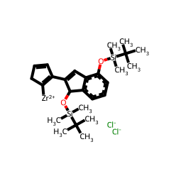 CC(C)(C)[Si](C)(C)Oc1cccc2c1C=C(C1=[C]([Zr+2])CC=C1)C2O[Si](C)(C)C(C)(C)C.[Cl-].[Cl-]